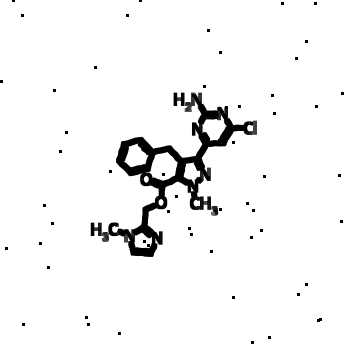 Cn1ccnc1COC(=O)c1c(Cc2ccccc2)c(-c2cc(Cl)nc(N)n2)nn1C